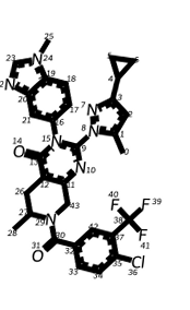 Cc1cc(C2CC2)nn1-c1nc2c(c(=O)n1-c1ccc3c(c1)ncn3C)CC(C)N(C(=O)c1ccc(Cl)c(C(F)(F)F)c1)C2